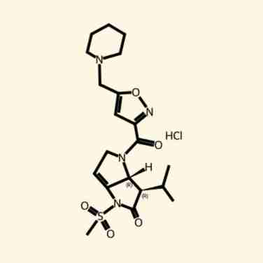 CC(C)[C@H]1C(=O)N(S(C)(=O)=O)C2=CCN(C(=O)c3cc(CN4CCCCC4)on3)[C@@H]21.Cl